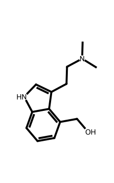 CN(C)CCc1c[nH]c2cccc(CO)c12